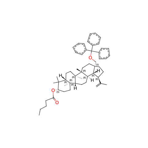 C=C(C)[C@@H]1CC[C@]2(COC(c3ccccc3)(c3ccccc3)c3ccccc3)CC[C@]3(C)[C@H](CC[C@@H]4[C@@]5(C)CC[C@H](OC(=O)CCCC)C(C)(C)[C@@H]5CC[C@]43C)[C@@H]12